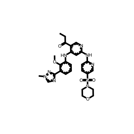 CCC(=O)c1cnc(Nc2ccc(S(=O)(=O)N3CCOCC3)cn2)cc1Nc1cccc(-c2ncn(C)n2)c1OC